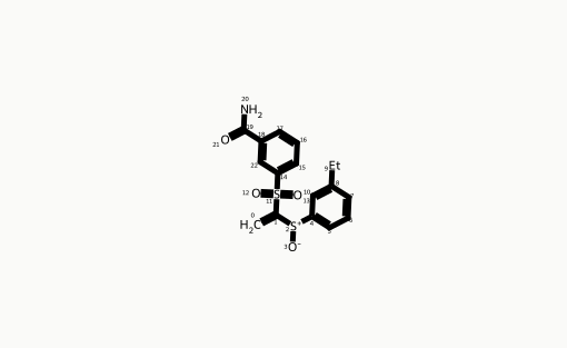 C=C([S+]([O-])c1cccc(CC)c1)S(=O)(=O)c1cccc(C(N)=O)c1